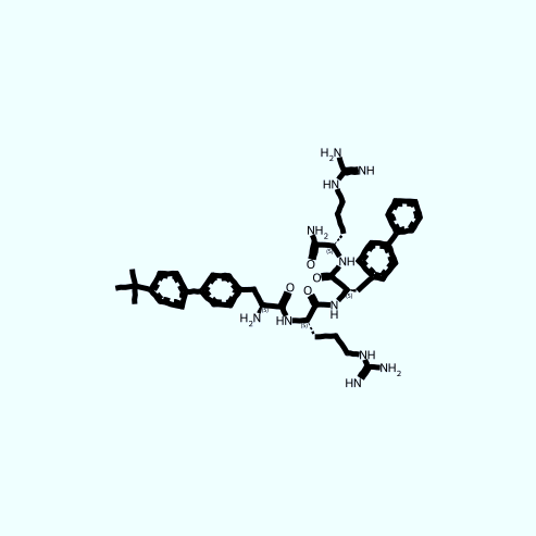 CC(C)(C)c1ccc(-c2ccc(C[C@H](N)C(=O)N[C@@H](CCCNC(=N)N)C(=O)N[C@@H](Cc3ccc(-c4ccccc4)cc3)C(=O)N[C@@H](CCCNC(=N)N)C(N)=O)cc2)cc1